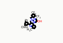 COc1ccc(C(C)C)cc1-c1nc2c(C)cccc2cc1CN(Cc1cc(C(F)(F)F)cc(C(F)(F)F)c1)c1ncc(O)cn1